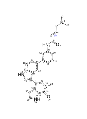 CN(C)C/C=C/C(=O)Nc1cncc(-c2cnc3[nH]cc(-c4cn(C)c(=O)c5[nH]ccc45)c3c2)c1